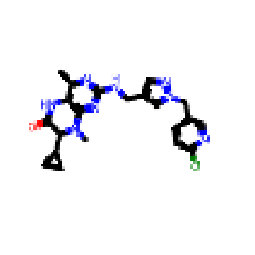 Cc1nc(NCc2cnn(Cc3ccc(Cl)nc3)c2)nc2c1NC(=O)C(C1CC1)N2C